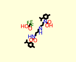 Cc1ccc(C(C)C)c(OC(=O)NCCCCNCCCN(C(=O)O)c2cc(C)ccc2C(C)C)c1.O=C(O)C(F)(F)F